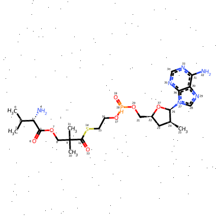 CC(C)[C@H](N)C(=O)OCC(C)(C)C(=O)SCCO[PH](=O)OC[C@@H]1C[C@H](C)[C@H](n2cnc3c(N)ncnc32)O1